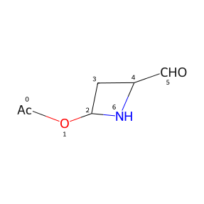 CC(=O)OC1CC(C=O)N1